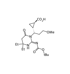 CCC1(CC)CC(=O)N(C(CCOC)[C@@H]2C[C@H]2C(=O)O)/C(=N/C(=O)OC(C)(C)C)N1